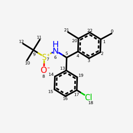 Cc1ccc(C(N[S+]([O-])C(C)(C)C)c2cccc(Cl)c2)c(C)c1